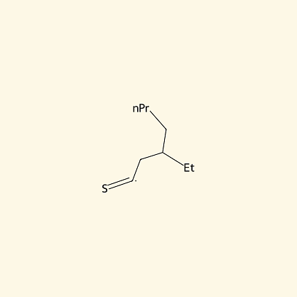 CCCCC(CC)C[C]=S